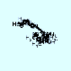 Cc1ncsc1-c1ccc([C@H](C)NC(=O)[C@@H]2C[C@@H](O)CN2C(=O)[C@@H](NC(=O)CCCCCCOc2ccc(Cn3ccc4ccc(C(=O)NO)cc43)cc2)C(C)(C)C)cc1